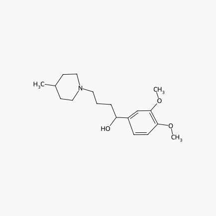 COc1ccc(C(O)CCCN2CCC(C)CC2)cc1OC